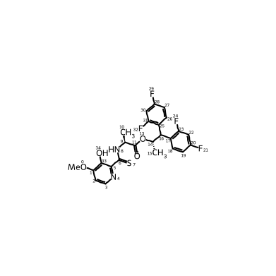 COc1ccnc(C(=S)N[C@@H](C)C(=O)O[C@@H](C)C(c2ccc(F)cc2F)c2ccc(F)cc2F)c1O